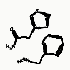 CC(=O)NCc1ccccc1.NC(=O)Cc1ccsc1